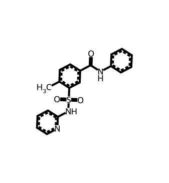 Cc1ccc(C(=O)Nc2ccccc2)cc1S(=O)(=O)Nc1ccccn1